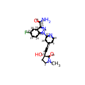 CN1CC[C@@](O)(C#Cc2ccnc(-n3nc(C(N)=O)c4cc(F)ccc43)c2)C1=O